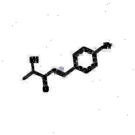 CC(S)C(=O)/C=C/c1ccc(C(C)C)cc1